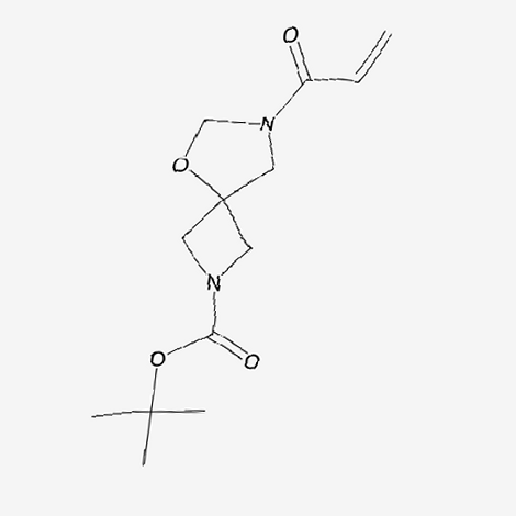 C=CC(=O)N1COC2(C1)CN(C(=O)OC(C)(C)C)C2